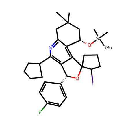 CC1(C)Cc2nc(C3CCCC3)c3c(c2[C@@H](O[Si](C)(C)C(C)(C)C)C1)C1(CCCC1I)O[C@@H]3c1ccc(F)cc1